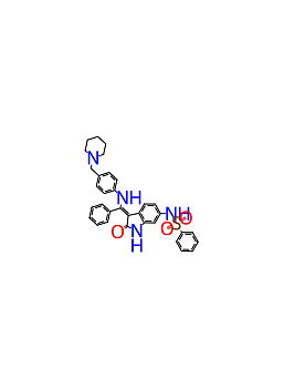 O=C1Nc2cc(NS(=O)(=O)c3ccccc3)ccc2C1=C(Nc1ccc(CN2CCCCC2)cc1)c1ccccc1